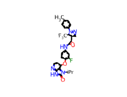 Cc1ccc(-n2ncc(C3OC3Nc3ccc(Oc4ccnc5[nH]c(=O)n(C(C)C)c45)c(F)c3)c2C(F)(F)F)cc1